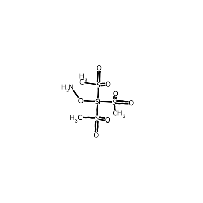 CS(=O)(=O)[Si](ON)(S(C)(=O)=O)S(C)(=O)=O